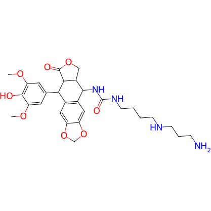 COc1cc(C2c3cc4c(cc3C(NC(=O)NCCCCNCCCN)C3COC(=O)C23)OCO4)cc(OC)c1O